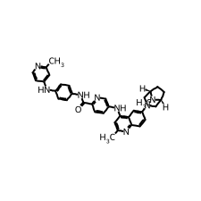 Cc1cc(Nc2ccc(NC(=O)c3ccc(Nc4cc(C)nc5ccc(N6C[C@H]7CC[C@@H](C6)N7C)cc45)cn3)cc2)ccn1